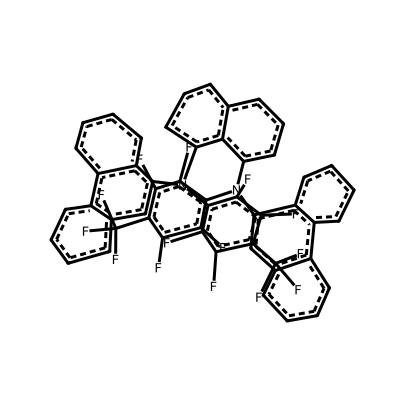 Fc1c(F)c(C(F)(F)F)c(F)c(F)c1N(c1cc2ccccc2c2ccccc12)c1cccc2cccc(N(c3c(F)c(F)c(C(F)(F)F)c(F)c3F)c3cc4ccccc4c4ccccc34)c12